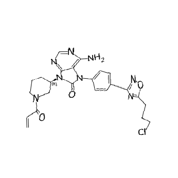 C=CC(=O)N1CCC[C@@H](n2c(=O)n(-c3ccc(-c4noc(CCCCl)n4)cc3)c3c(N)ncnc32)C1